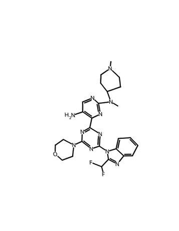 CN1CCC(N(C)c2ncc(N)c(-c3nc(N4CCOCC4)nc(-n4c(C(F)F)nc5ccccc54)n3)n2)CC1